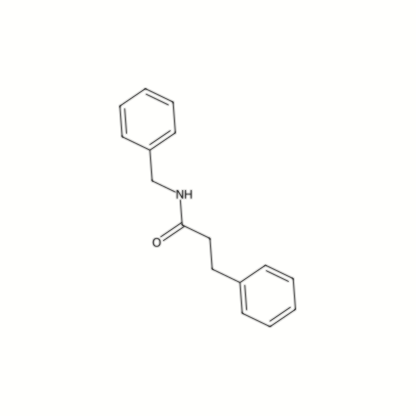 O=C(CCc1ccccc1)NCc1ccccc1